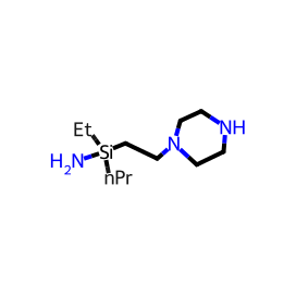 CCC[Si](N)(CC)CCN1CCNCC1